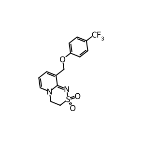 O=S1(=O)CCN2C=CC=C(COc3ccc(C(F)(F)F)cc3)C2=N1